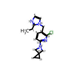 CCc1nccn1Cc1ccc(N2CC3(CC3)C2)nc1Cl